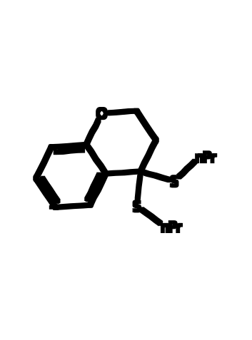 CCCSC1(SCCC)CCOc2cc[c]cc21